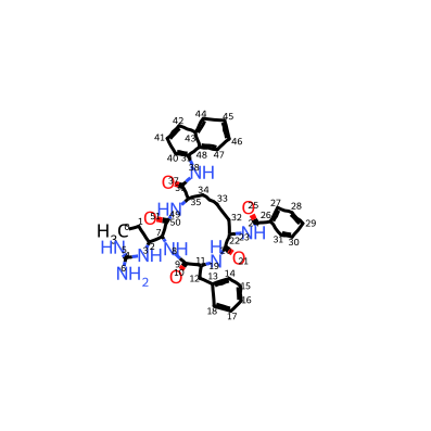 CCC(NC(=N)N)C1NC(=O)C(Cc2ccccc2)NC(=O)C(NC(=O)c2ccccc2)CCCC(C(=O)Nc2cccc3ccccc23)NC1=O